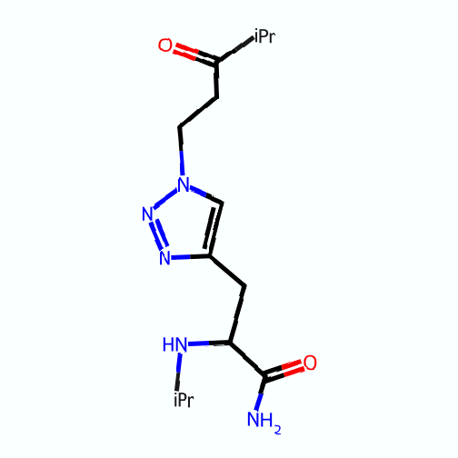 CC(C)NC(Cc1cn(CCC(=O)C(C)C)nn1)C(N)=O